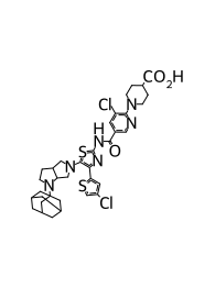 O=C(Nc1nc(-c2cc(Cl)cs2)c(N2CC3CCN(C45CC6CC(CC(C6)C4)C5)C3C2)s1)c1cnc(N2CCC(C(=O)O)CC2)c(Cl)c1